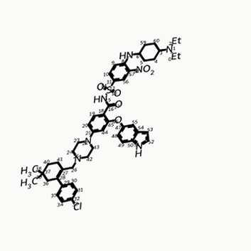 CCN(CC)C1CCC(Nc2ccc(S(=O)(=O)NC(=O)c3ccc(N4CCN(CC5=C(c6ccc(Cl)cc6)CC(C)(C)CC5)CC4)cc3Oc3ccc4[nH]ccc4c3)cc2[N+](=O)[O-])CC1